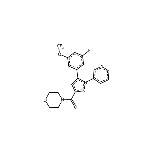 O=C(c1cc(-c2cc(F)cc(OC(F)(F)F)c2)n(-c2cccnc2)n1)N1CCOCC1